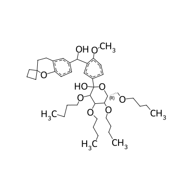 CCCCOC[C@H]1OC(O)(c2ccc(OC)c(C(O)c3ccc4c(c3)CCC3(CCC3)O4)c2)C(OCCCC)C(OCCCC)C1OCCCC